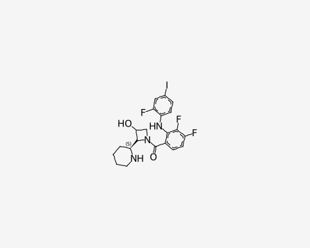 O=C(c1ccc(F)c(F)c1Nc1ccc(I)cc1F)N1CC(O)C1[C@@H]1CCCCN1